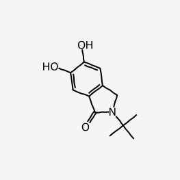 CC(C)(C)N1Cc2cc(O)c(O)cc2C1=O